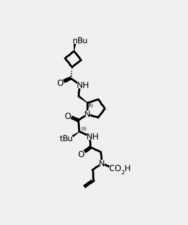 C=CCN(CC(=O)N[C@H](C(=O)N1CCC[C@@H]1CNC(=O)[C@H]1C[C@H](CCCC)C1)C(C)(C)C)C(=O)O